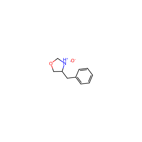 [O-][NH+]1COCC1Cc1ccccc1